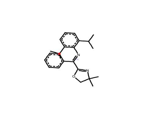 CC(C)c1cccc(C(C)C)c1/N=C(/C1=NC(C)(C)CO1)c1ccccc1